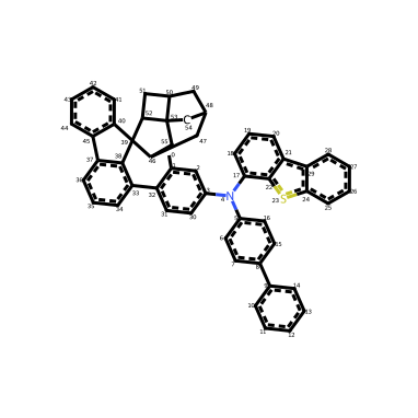 Cc1cc(N(c2ccc(-c3ccccc3)cc2)c2cccc3c2sc2ccccc23)ccc1-c1cccc2c1C1(c3ccccc3-2)C2CC3CC4CC1C4(C3)C2